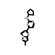 Cc1cc2nc(-c3ccnc(NC4CCCC4)n3)ccn2n1